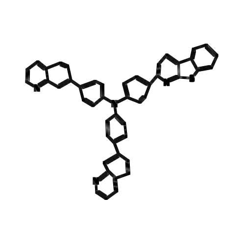 c1cnc2cc(-c3ccc(N(c4ccc(-c5ccc6cccnc6c5)cc4)c4ccc(-c5ccc6c(n5)sc5ccccc56)cc4)cc3)ccc2c1